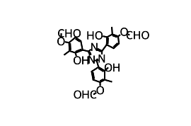 Cc1c(OC=O)ccc(-c2nc(-c3ccc(OC=O)c(C)c3O)nc(-c3ccc(OC=O)c(C)c3O)n2)c1O